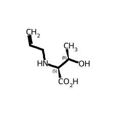 C=CCN[C@H](C(=O)O)[C@@H](C)O